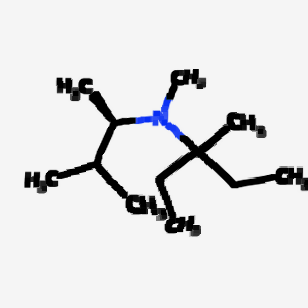 CCC(C)(CC)N(C)[C@H](C)C(C)C